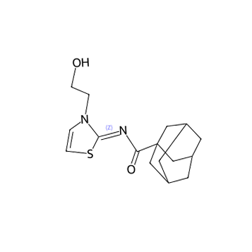 O=C(/N=c1\sccn1CCO)C12CC3CC(CC(C3)C1)C2